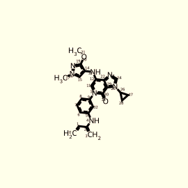 C=CC(=C)Nc1cccc(-n2cc(Nc3cn(C)nc3OC)c3ncn(C4CC4)c3c2=O)c1